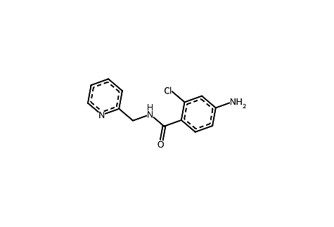 Nc1ccc(C(=O)NCc2ccccn2)c(Cl)c1